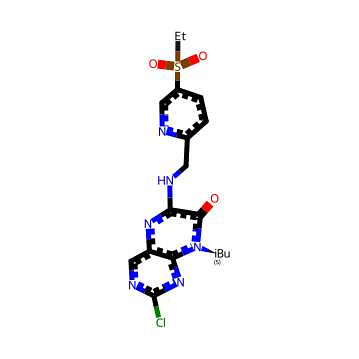 CC[C@H](C)n1c(=O)c(NCc2ccc(S(=O)(=O)CC)cn2)nc2cnc(Cl)nc21